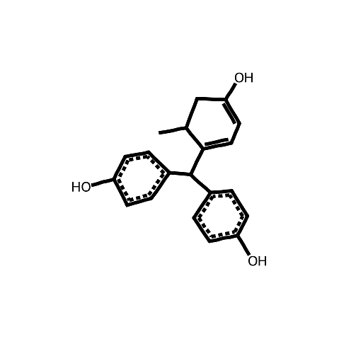 CC1CC(O)=CC=C1C(c1ccc(O)cc1)c1ccc(O)cc1